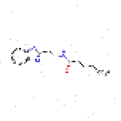 O=C(O)CCCC(=O)NCCc1nc2ccccc2[nH]1